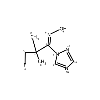 CC(C)(CF)/C(=N/O)n1cncn1